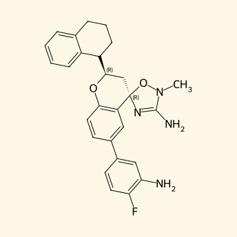 CN1O[C@@]2(C[C@H](C3CCCc4ccccc43)Oc3ccc(-c4ccc(F)c(N)c4)cc32)N=C1N